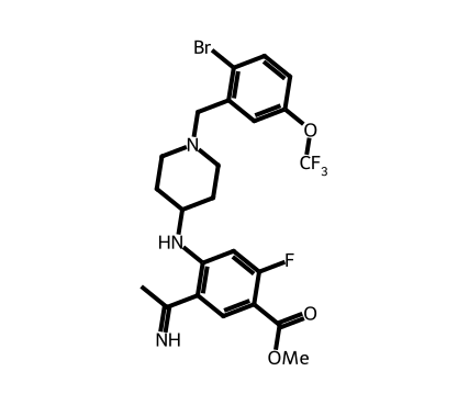 COC(=O)c1cc(C(C)=N)c(NC2CCN(Cc3cc(OC(F)(F)F)ccc3Br)CC2)cc1F